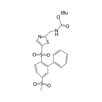 CC(C)(C)OC(=O)NCc1ncc(S(=O)(=O)c2ccc(S(C)(=O)=O)cc2-c2ccccc2)s1